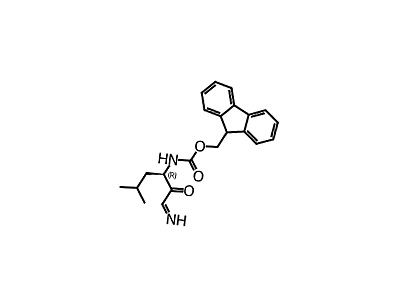 CC(C)C[C@@H](NC(=O)OCC1c2ccccc2-c2ccccc21)C(=O)C=N